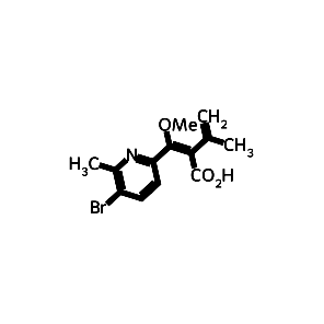 C=C(C)/C(C(=O)O)=C(\OC)c1ccc(Br)c(C)n1